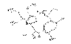 CCN(C)c1cc(C2C(c3cc(C(C)C)c(O)cc3O)=CN=C2O)ccc1OC